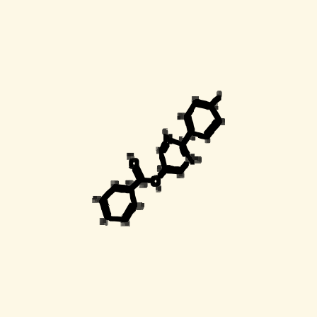 Cc1ccc(-c2ncc(OC(=O)c3ccccc3)cn2)cc1